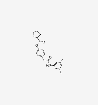 Cc1cc(C)cc(NC(=O)Cc2ccc(OC(=O)C3CCCC3)cc2)c1